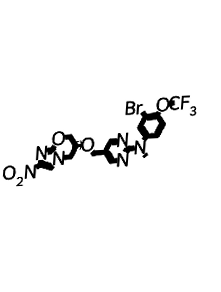 CN(c1ccc(OC(F)(F)F)c(Br)c1)c1ncc(CO[C@@H]2COc3nc([N+](=O)[O-])cn3C2)cn1